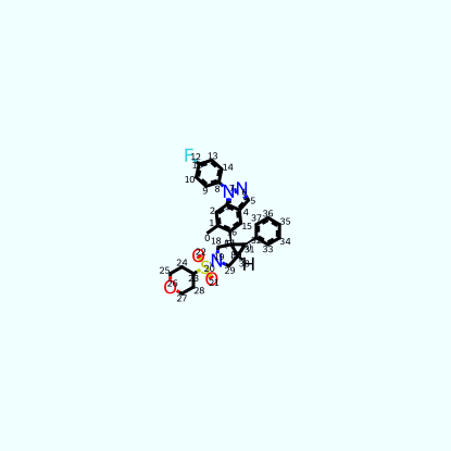 Cc1cc2c(cnn2-c2ccc(F)cc2)cc1[C@]12CN(S(=O)(=O)C3CCOCC3)C[C@H]1[C@@H]2c1ccccc1